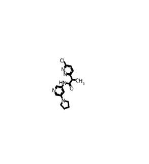 CC(C(=O)Nc1cncc(N2CCCC2)c1)c1ccc(Cl)nn1